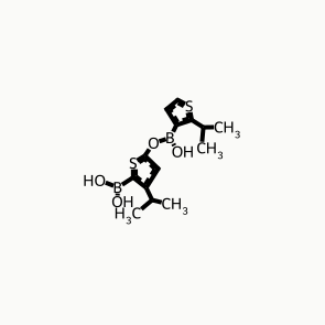 CC(C)c1cc(OB(O)c2ccsc2C(C)C)sc1B(O)O